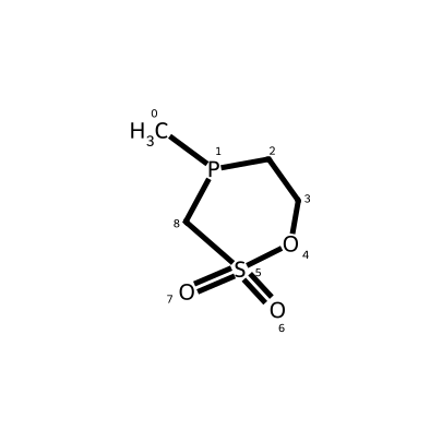 CP1CCOS(=O)(=O)C1